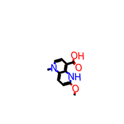 COC1=CC=C2C(=C(C(=O)O)C=CN2C)N1